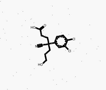 N#CC(CCCO)(CCC(=O)O)c1ccc(Cl)c(Cl)c1